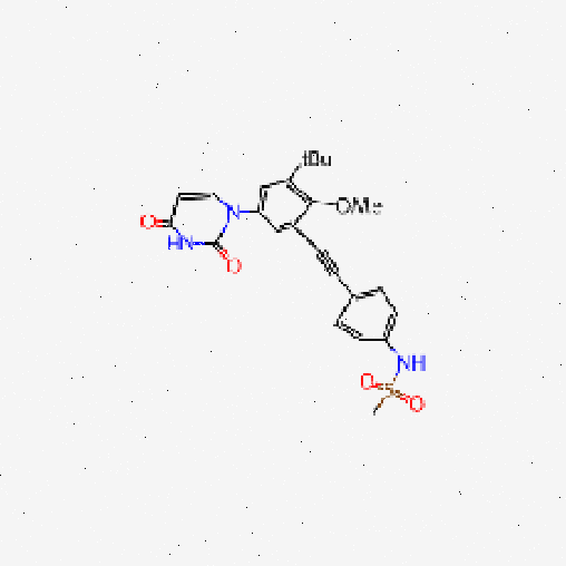 COc1c(C#Cc2ccc(NS(C)(=O)=O)cc2)cc(-n2ccc(=O)[nH]c2=O)cc1C(C)(C)C